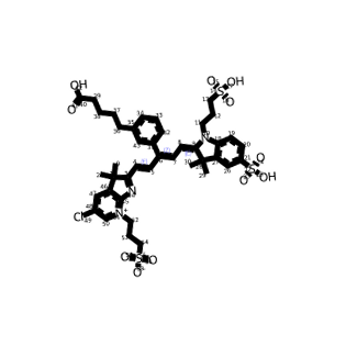 CC1(C)C(/C=C/C(=C/C=C2/N(CCCS(=O)(=O)O)c3ccc(S(=O)(=O)O)cc3C2(C)C)c2cccc(CCCCC(=O)O)c2)=Nc2c1cc(Cl)c[n+]2CCCS(=O)(=O)[O-]